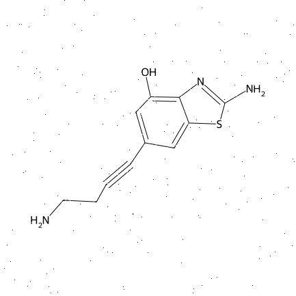 NCCC#Cc1cc(O)c2nc(N)sc2c1